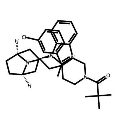 Cc1nc2ccccc2n1[C@H]1C[C@H]2CC[C@@H](C1)N2CCC1(c2cccc(Cl)c2)CCN(C(=O)C(C)(C)C)CC1